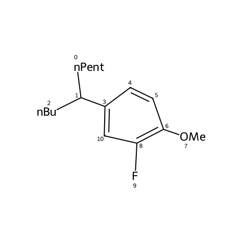 CCCCCC(CCCC)c1ccc(OC)c(F)c1